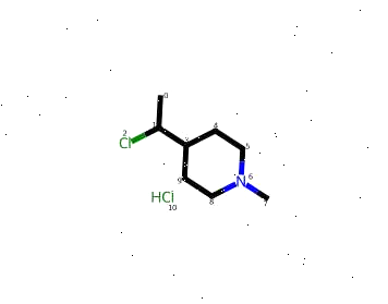 CC(Cl)C1CCN(C)CC1.Cl